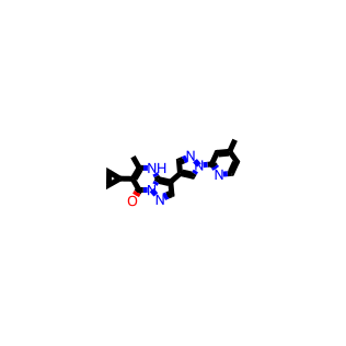 Cc1ccnc(-n2cc(-c3cnn4c(=O)c(C5CC5)c(C)[nH]c34)cn2)c1